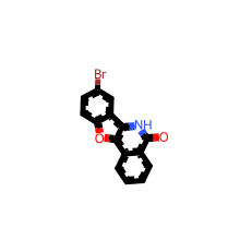 O=c1[nH]c2c3cc(Br)ccc3oc2c2ccccc12